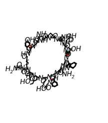 CCCC[C@H]1C(=O)N(C)[C@@H](CCCC)C(=O)N[C@@H](CC(=O)O)C(=O)N[C@H](C(=O)NCC(N)=O)CSCC(=O)N[C@@H](Cc2ccc(O)cc2)C(=O)N(C)[C@@H](C)C(=O)N[C@@H](CC(N)=O)C(=O)N2CCCC2C(=O)N[C@@H](CN)C(=O)N[C@@H](CCC(=O)O)C(=O)N2C[C@H](O)C[C@H]2C(=O)N[C@@H](Cc2c[nH]c3ccccc23)C(=O)N[C@@H](CCN)C(=O)N[C@@H](Cc2cn(CC(=O)O)c3ccccc23)C(=O)N1C